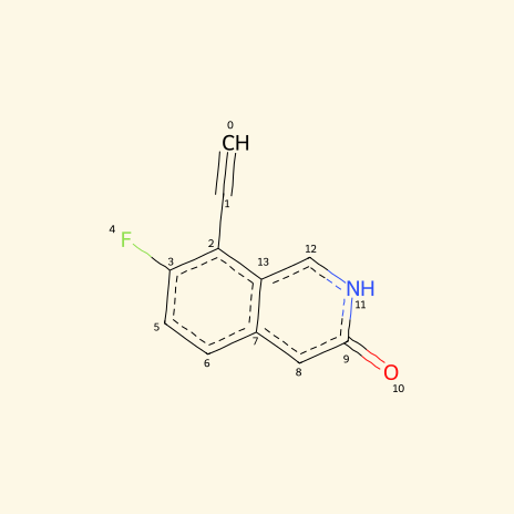 C#Cc1c(F)ccc2cc(=O)[nH]cc12